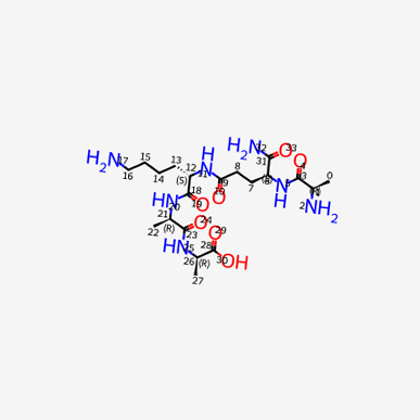 C[C@@H](N)C(=O)N[C@@H](CCC(=O)N[C@@H](CCCCN)C(=O)N[C@H](C)C(=O)N[C@H](C)C(=O)O)C(N)=O